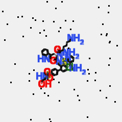 CN(C(=O)[C@@H](N)CCCCN)[C@@H](Cc1c[nH]c2ccccc12)C(=O)NCc1c(-c2ccc(S(=O)(=O)NCCO)cc2)ccc(Cl)c1Sc1ncccc1CN